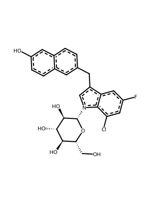 OC[C@H]1O[C@@H](n2cc(Cc3ccc4cc(O)ccc4c3)c3cc(F)cc(Cl)c32)[C@H](O)[C@@H](O)[C@@H]1O